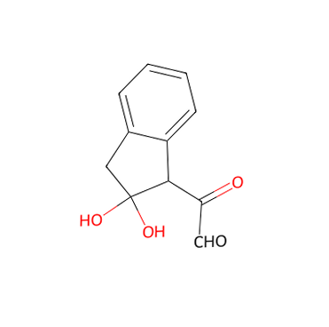 O=CC(=O)C1c2ccccc2CC1(O)O